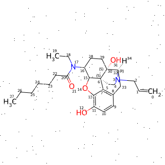 C=CCN1CC[C@]23c4c5ccc(O)c4OC2C(N(CC)C(=O)CCCCCC)CC[C@@]3(O)[C@H]1C5